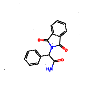 NC(=O)C(c1ccccc1)N1C(=O)c2ccccc2C1=O